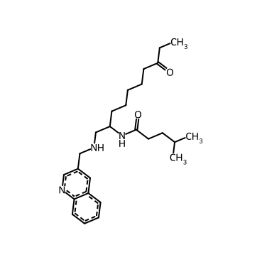 CCC(=O)CCCCCC(CNCc1cnc2ccccc2c1)NC(=O)CCC(C)C